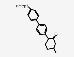 CCCCCCCc1ccc(-c2ccc(C3CCC(C)CC3=O)cc2)cc1